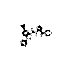 O=C(Nc1sccc1C(=O)N1CCOCC1)Oc1nc(C2CC2)ccc1Nc1cncnc1